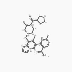 Cc1ncc(C(N)=O)c(-c2cn3ccnc3c(CN3CCN(C(=O)C4CCCC4)C(C)C3)c2C)n1